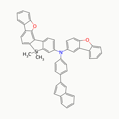 C[Si]1(C)c2cc(N(c3ccc(-c4ccc5ccccc5c4)cc3)c3ccc4oc5ccccc5c4c3)ccc2-c2c1ccc1c2oc2ccccc21